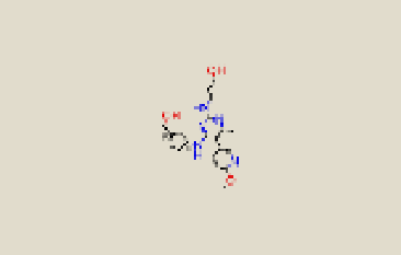 COc1ccc(-c2c(C)nc(NCCCO)nc2N[C@H]2CC[C@@H](CO)C2)cn1